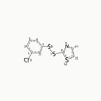 Clc1cccc(SSc2nccs2)c1